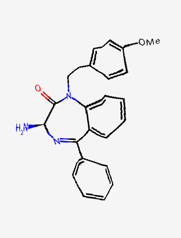 COc1ccc(CN2C(=O)[C@H](N)N=C(c3ccccc3)c3ccccc32)cc1